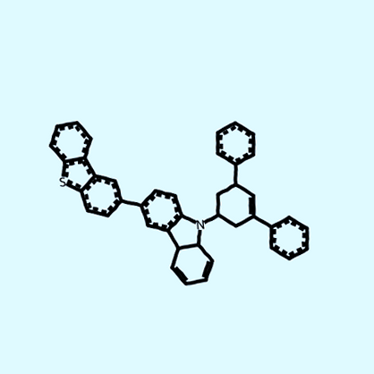 C1=CC2c3cc(-c4ccc5sc6ccccc6c5c4)ccc3N(C3CC(c4ccccc4)=CC(c4ccccc4)C3)C2C=C1